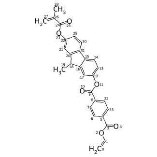 C=COC(=O)c1ccc(C(=O)Oc2ccc3c(c2)C(C)c2cc(OC(=O)C(=C)C)ccc2-3)cc1